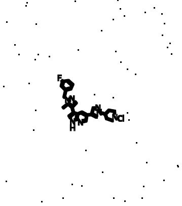 Cc1c(-c2c[nH]c3ncc(-c4cnn(C5CCN(Cl)CC5)c4)cc23)cnn1Cc1cccc(F)c1